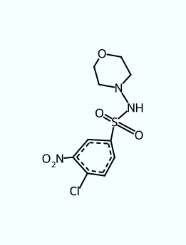 O=[N+]([O-])c1cc(S(=O)(=O)NN2CCOCC2)ccc1Cl